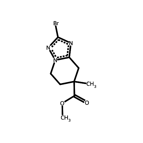 COC(=O)C1(C)CCn2nc(Br)nc2C1